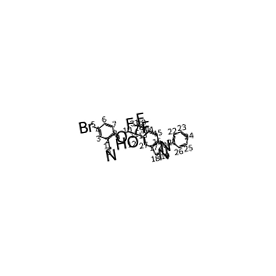 N#Cc1cc(Br)ccc1OCC(O)(c1ccc2c(cnn2-c2ccccc2)c1)C(F)(F)F